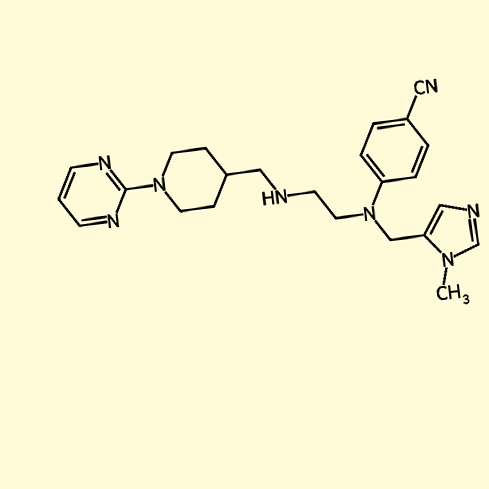 Cn1cncc1CN(CCNCC1CCN(c2ncccn2)CC1)c1ccc(C#N)cc1